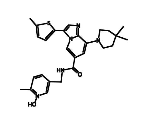 Cc1ccc(-c2cnc3c(N4CCC(C)(C)CC4)cc(C(=O)NCc4ccc(C)[n+](O)c4)cn23)s1